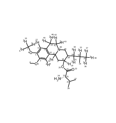 [2H]c1c(OC)c(OC([2H])([2H])[2H])c([2H])c2c1C1([2H])CC([2H])(OC(=O)[C@@H](N)C(C)C)C(C([2H])([2H])C([2H])(C)C([2H])([2H])[2H])CN1C([2H])([2H])C2([2H])[2H]